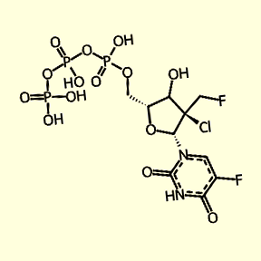 O=c1[nH]c(=O)n([C@@H]2O[C@H](COP(=O)(O)OP(=O)(O)OP(=O)(O)O)C(O)[C@]2(Cl)CF)cc1F